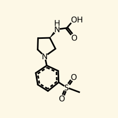 CS(=O)(=O)c1cccc(N2CC[C@@H](NC(=O)O)C2)c1